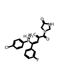 C=C(/C=C(/c1cccc(F)c1)N(N)c1ccc(Cl)cc1)C(=O)N1CNC(=O)C1